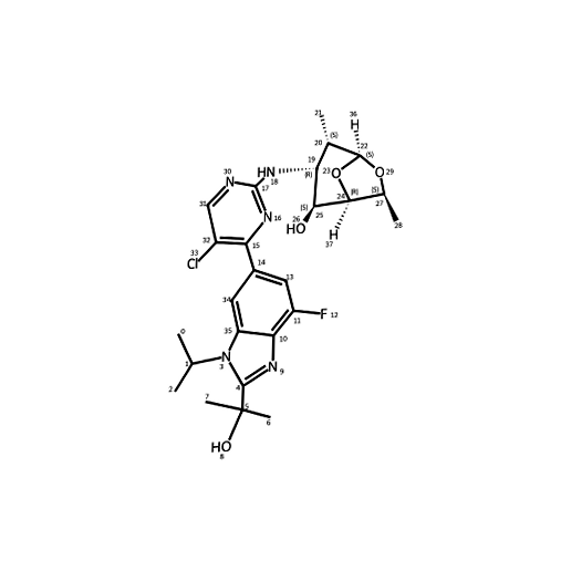 CC(C)n1c(C(C)(C)O)nc2c(F)cc(-c3nc(N[C@@H]4[C@H](C)[C@@H]5O[C@H]([C@H]4O)[C@H](C)O5)ncc3Cl)cc21